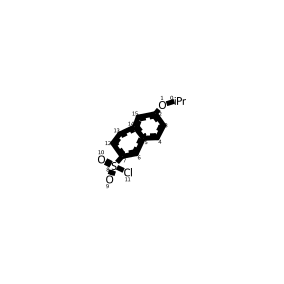 CC(C)Oc1ccc2cc(S(=O)(=O)Cl)ccc2c1